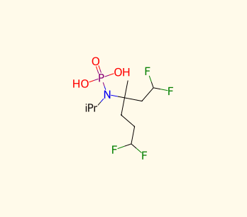 CC(C)N(C(C)(CCC(F)F)CC(F)F)P(=O)(O)O